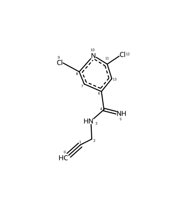 C#CCNC(=N)c1cc(Cl)nc(Cl)c1